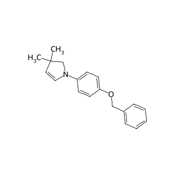 CC1(C)C=CN(c2ccc(OCc3ccccc3)cc2)C1